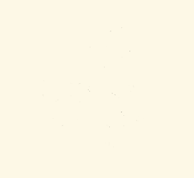 CN1CCC(N(C)C(=O)NC(COCc2ccccc2)c2cccc3ccccc23)C(C)(C)C1